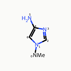 CNn1cnc(N)c1